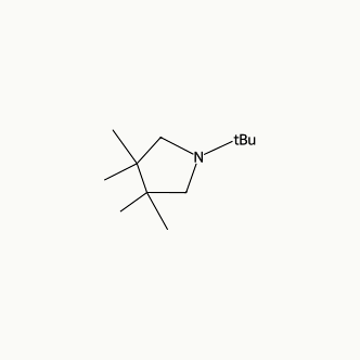 CC(C)(C)N1CC(C)(C)C(C)(C)C1